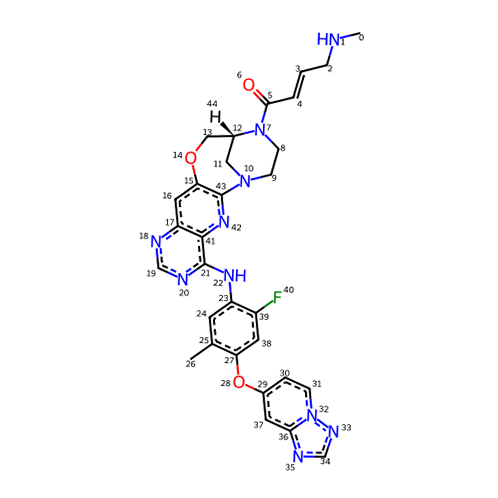 CNC/C=C/C(=O)N1CCN2C[C@@H]1COc1cc3ncnc(Nc4cc(C)c(Oc5ccn6ncnc6c5)cc4F)c3nc12